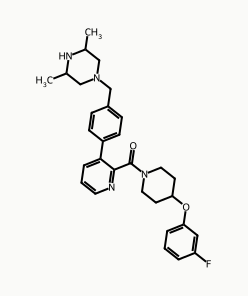 CC1CN(Cc2ccc(-c3cccnc3C(=O)N3CCC(Oc4cccc(F)c4)CC3)cc2)CC(C)N1